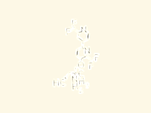 C#CC[C@](C)(N)COc1ccc(-c2ccnc(C(F)F)c2)nc1C(F)F